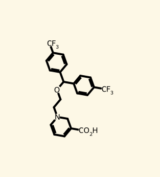 O=C(O)C1=CC=CN(CCOC(c2ccc(C(F)(F)F)cc2)c2ccc(C(F)(F)F)cc2)C1